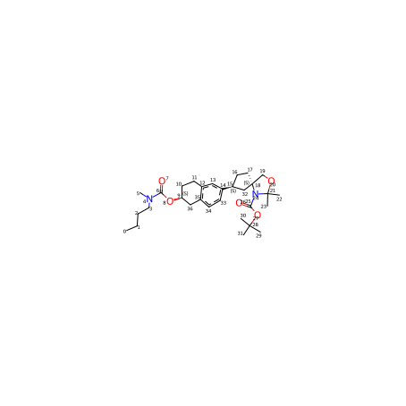 CCCCN(C)C(=O)O[C@H]1CCc2cc([C@H]3CC[C@@]4(COC(C)(C)N4C(=O)OC(C)(C)C)C3)ccc2C1